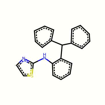 [c]1csc(Nc2ccccc2C(c2ccccc2)c2ccccc2)n1